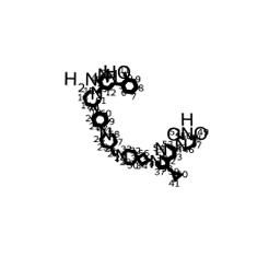 Nc1nnc(-c2ccccc2O)cc1N1CCC[C@H](c2ccc(N3CCC(CN4CCC5(CC4)CC(n4cc(C6CC6)c6cc(N7CCC(=O)NC7=O)cnc64)C5)CC3)cc2)C1